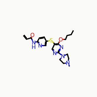 C=CC(=O)Nc1ccc(Sc2cnc(N3CCN(C)CC3)nc2OCCCC)cn1